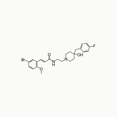 COc1ccc(Br)cc1C=CC(=O)NCCN1CCC(O)(Cc2ccc(F)cc2)CC1